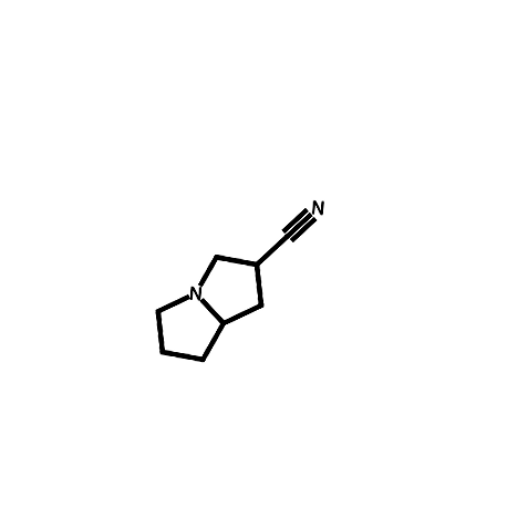 N#CC1CC2CCCN2C1